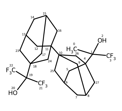 CC(O)(C(F)(F)F)C12CC3CC(CC(C45CC6CC(C4)CC(C(O)(C(F)(F)F)C(F)(F)F)(C6)C5)(C3)C1)C2